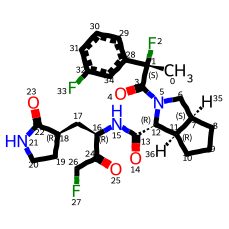 C[C@@](F)(C(=O)N1C[C@H]2CCC[C@H]2[C@@H]1C(=O)N[C@H](C[C@H]1CCNC1=O)C(=O)CF)c1cccc(F)c1